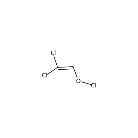 ClOC=C(Cl)Cl